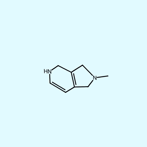 CN1CC2=C(CNC=C2)C1